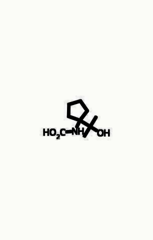 CC(C)(O)C1(NC(=O)O)CCCC1